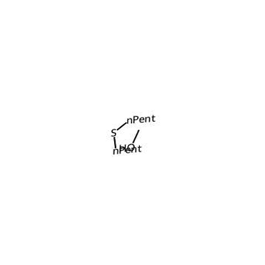 CCCCCSCCCCC.CO